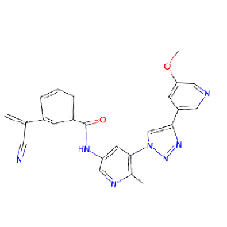 C=C(C#N)c1cccc(C(=O)Nc2cnc(C)c(-n3cc(-c4cncc(OC)c4)nn3)c2)c1